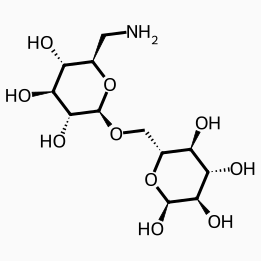 NC[C@H]1O[C@@H](OC[C@H]2O[C@H](O)[C@H](O)[C@@H](O)[C@@H]2O)[C@H](O)[C@@H](O)[C@@H]1O